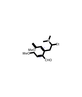 C=C(/C=C(CC(CC)N(C)C)\C(C=O)=C/COC)OC